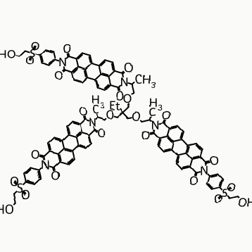 CCC(COCC(C)N1C(=O)c2ccc3c4ccc5c6c(ccc(c7ccc(c2c37)C1=O)c64)C(=O)N(c1ccc(S(=O)(=O)CCO)cc1)C5=O)(COCC(C)N1C(=O)c2ccc3c4ccc5c6c(ccc(c7ccc(c2c37)C1=O)c64)C(=O)N(c1ccc(S(=O)(=O)CCO)cc1)C5=O)COCC(C)N1C(=O)c2ccc3c4ccc5c6c(ccc(c7ccc(c2c37)C1=O)c64)C(=O)N(c1ccc(S(=O)(=O)CCO)cc1)C5=O